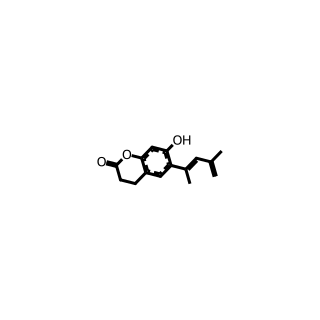 C=C(C)/C=C(\C)c1cc2c(cc1O)OC(=O)CC2